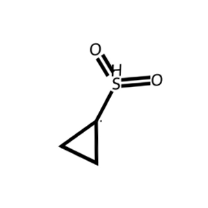 O=[SH](=O)[C]1CC1